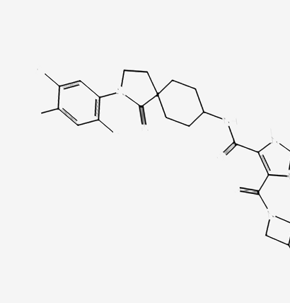 Cc1cc(N2CCC3(CCC(NC(=O)c4[nH]cnc4C(=O)N4CC(F)C4)CC3)C2=O)c(Cl)cc1F